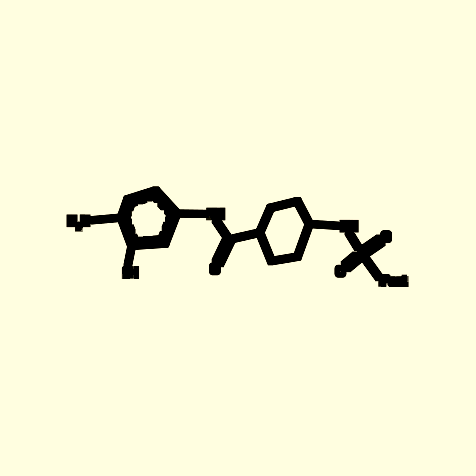 CCCC(C)S(=O)(=O)NC1CCC(C(=O)Nc2ccc(N)c(S)c2)CC1